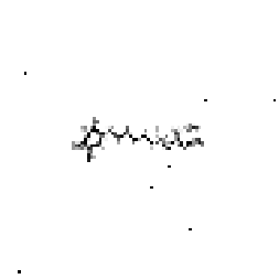 CC(C)OC(O[SiH2]CCCCCCc1cc(F)c(F)cc1F)OC(C)C